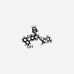 Oc1cc(-c2cnc3c(N4CC5CCC(C4)N5)nc(OCC4(CN5CC[C@@H](F)C5)CC4)nc3c2)c2c(Cl)cccc2c1